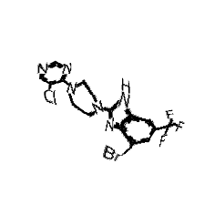 FC(F)(F)c1cc(Br)c2nc(N3CCN(c4ncncc4Cl)CC3)[nH]c2c1